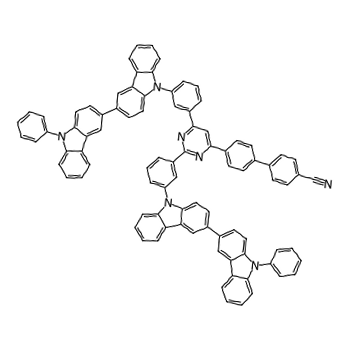 N#Cc1ccc(-c2ccc(-c3cc(-c4cccc(-n5c6ccccc6c6cc(-c7ccc8c(c7)c7ccccc7n8-c7ccccc7)ccc65)c4)nc(-c4cccc(-n5c6ccccc6c6cc(-c7ccc8c(c7)c7ccccc7n8-c7ccccc7)ccc65)c4)n3)cc2)cc1